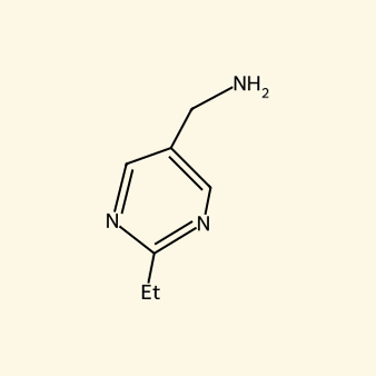 CCc1ncc(CN)cn1